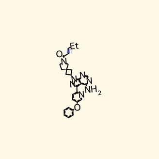 CC/C=C/C(=O)N1CC[C@]2(C1)C[C@@H](n1nc(-c3ccc(Oc4ccccc4)cn3)c3c(N)ncnc31)C2